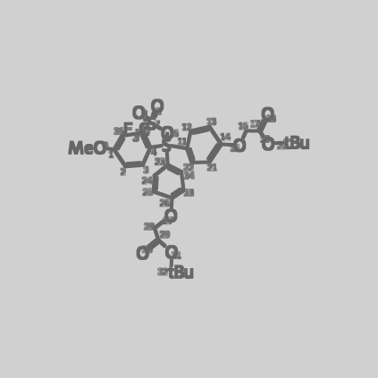 COc1ccc(S(OS(=O)(=O)C(F)(F)F)(c2ccc(OCC(=O)OC(C)(C)C)cc2)c2ccc(OCC(=O)OC(C)(C)C)cc2)cc1